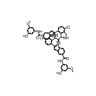 COc1cc(NC(=O)c2ccc3[nH]c(-c4ccc(Cl)c5c4C(C(=O)C4NCc6c(Cl)ccc(-c7cc8cc(C(=O)Nc9cc(OC)cc(OC)c9)ccc8[nH]7)c64)NC5)cc3c2)cc(OC)c1